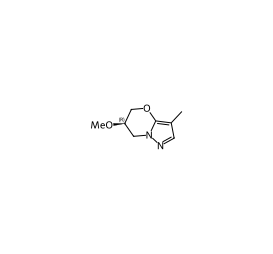 CO[C@H]1COc2c(C)cnn2C1